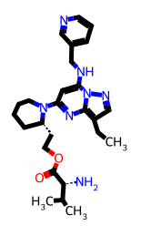 CCc1cnn2c(NCc3cccnc3)cc(N3CCCC[C@H]3CCOC(=O)[C@H](N)C(C)C)nc12